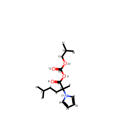 CC(C)CCC(C)(C(=O)OC(=O)OCC(C)C)n1cccc1